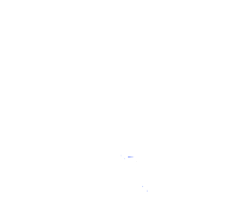 CNC(=O)[C@@H](N)Cc1ccc(OCc2ccccc2)cc1